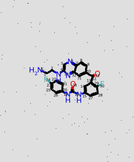 NCCNc1cnc2ccc(C(=O)c3cc(NC(=O)Nc4ccc(F)cc4)ccc3F)cc2n1